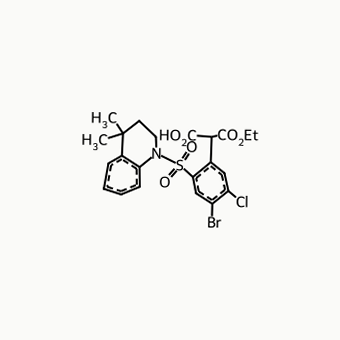 CCOC(=O)C(C(=O)O)c1cc(Cl)c(Br)cc1S(=O)(=O)N1CCC(C)(C)c2ccccc21